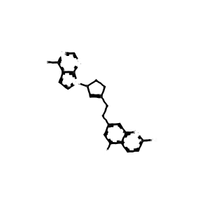 Nc1ccc2c(F)cc(CCC3=CC(n4ccc5c(Cl)ncnc54)CC3)cc2n1